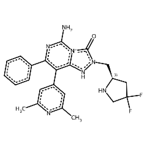 Cc1cc(-c2c(-c3ccccc3)nc(N)[n+]3c(=O)n(C[C@H]4CC(F)(F)CN4)[nH]c23)cc(C)n1